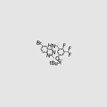 Cc1nc(N[C@H](C)c2cc(O[Si](C)(C)C(C)(C)C)cc(C(F)F)c2F)c2cc(Br)ccc2n1